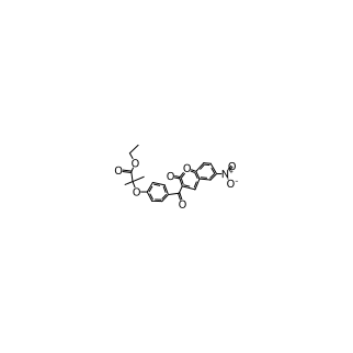 CCOC(=O)C(C)(C)Oc1ccc(C(=O)c2cc3cc([N+](=O)[O-])ccc3oc2=O)cc1